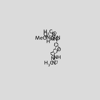 COC(=O)NCC(=O)N1C(c2ncc(-c3ccc4c(c3)COc3cc5c(ccc6nc(C7CCCN7C)[nH]c65)cc3-4)[nH]2)CC[C@@H]1C